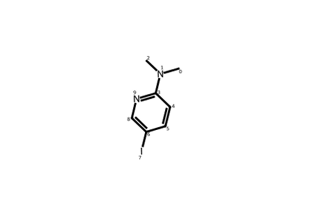 CN(C)c1ccc(I)cn1